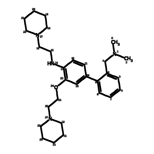 CN(C)Cc1ccccc1-c1ccc(NCCN2CCCCC2)c(OCCN2CCCCC2)c1